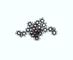 c1ccc(C2(c3ccccc3)c3ccccc3-c3ccc(N(c4ccc(-c5ccc6oc7ccccc7c6c5)cc4)c4ccc5c(c4)C4(c6ccccc6-c6cc(-c7cccc(-c8ccccc8N(c8ccc(-c9ccc%10oc%11ccccc%11c%10c9)cc8)c8ccc9c(c8)C8(c%10ccccc%10-c%10ccccc%108)c8ccccc8-9)c7)ccc64)c4ccccc4-5)cc32)cc1